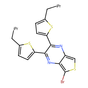 CC(C)Cc1ccc(-c2nc3csc(Br)c3nc2-c2ccc(CC(C)C)s2)s1